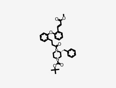 COC(=O)/C=C/c1ccccc1Oc1ccccc1CCC(=O)N1CCN(C(=O)OC(C)(C)C)C[C@H]1Cc1ccccc1